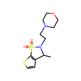 CC1c2ccsc2S(=O)(=O)N1CCN1CCOCC1